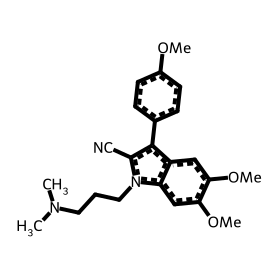 COc1ccc(-c2c(C#N)n(CCCN(C)C)c3cc(OC)c(OC)cc23)cc1